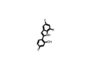 Oc1cc(F)ccc1-c1cc2cc(F)cc(F)c2[nH]1